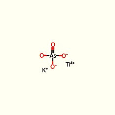 O=[As]([O-])([O-])[O-].[K+].[Ti+4]